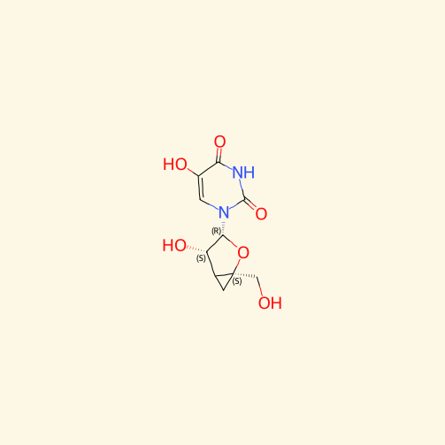 O=c1[nH]c(=O)n([C@@H]2O[C@@]3(CO)CC3[C@@H]2O)cc1O